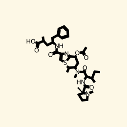 CCC(C)C(NC(=O)[C@@]1(C)CCCN1C)C(=O)N(C)C(CC(OC(C)=O)c1nc(C(=O)NC(Cc2ccccc2)CC(C)C(=O)O)cs1)C(C)C